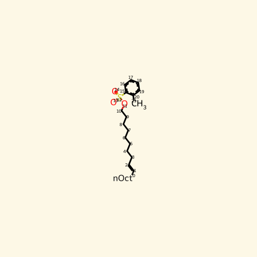 CCCCCCCCC=CCCCCCCCCOS(=O)(=O)c1ccccc1C